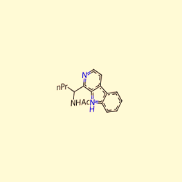 CCCC(NC(C)=O)c1nccc2c1[nH]c1ccccc12